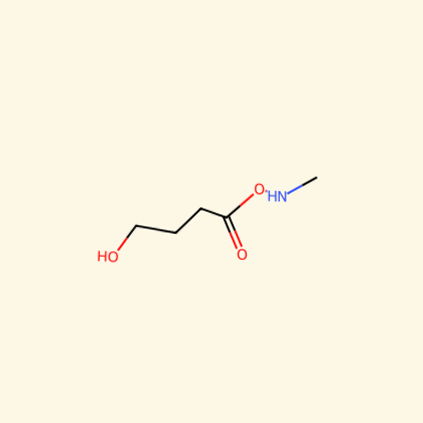 CNOC(=O)CCCO